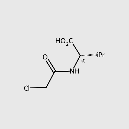 CC(C)[C@H](NC(=O)CCl)C(=O)O